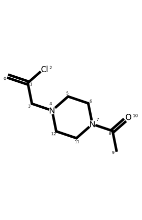 C=C(Cl)CN1CCN(C(C)=O)CC1